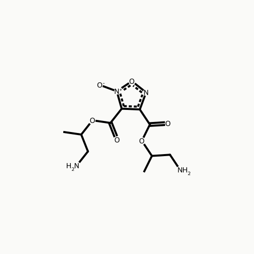 CC(CN)OC(=O)c1no[n+]([O-])c1C(=O)OC(C)CN